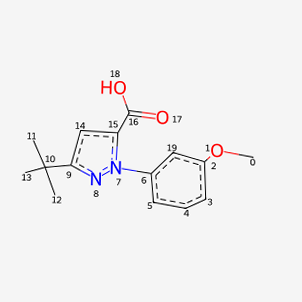 COc1cccc(-n2nc(C(C)(C)C)cc2C(=O)O)c1